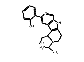 CC(C)N1CCc2[nH]c3nnc(-c4ccccc4O)cc3c2[C@@H]1CO